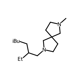 CCC(C)CC(CC)CN1CCC2(CCN(C)C2)C1